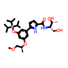 COC[C@H](C)Oc1cc(O[Si](C(C)C)(C(C)C)C(C)C)cc(-c2ccc(C(=O)N[C@@H](CO)[C@@H](C)O)[nH]2)c1